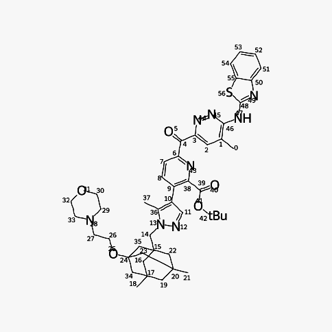 Cc1cc(C(=O)c2ccc(-c3cnn(CC45CC6(C)CC(C)(C4)CC(OCCN4CCOCC4)(C6)C5)c3C)c(C(=O)OC(C)(C)C)n2)nnc1Nc1nc2ccccc2s1